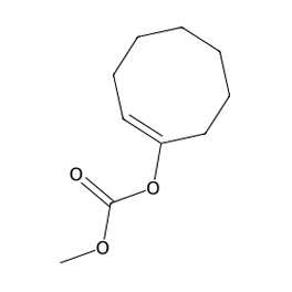 COC(=O)OC1=CCCCCCC1